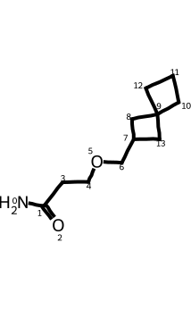 NC(=O)CCOCC1CC2(CCC2)C1